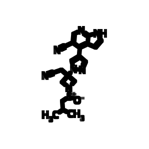 CC(C)C[S+]([O-])N1CC(CC#N)(n2cc(-c3c(C#N)cnc4[nH]ccc34)cn2)C1